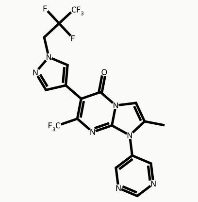 Cc1cn2c(=O)c(-c3cnn(CC(F)(F)C(F)(F)F)c3)c(C(F)(F)F)nc2n1-c1cncnc1